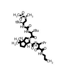 C=CCNC(=O)C(=O)C(CCC)NC(=O)[C@@H]1[C@H]2CCC(C)(C)[C@H]2CN1C(=O)[C@@H](NC(=O)N[C@H](CN(C)S(C)(=O)=O)C(C)(C)C)C(C)(C)C